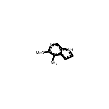 Bc1c(OC)ncc2[nH]ccc12